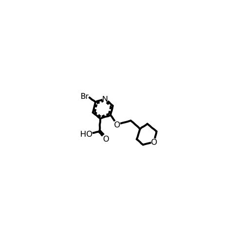 O=C(O)c1cc(Br)ncc1OCC1CCOCC1